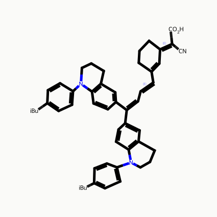 CCC(C)c1ccc(N2CCCc3cc(C(=C/C=C/C4=CC(=C(\C#N)C(=O)O)/CCC4)c4ccc5c(c4)CCCN5c4ccc(C(C)CC)cc4)ccc32)cc1